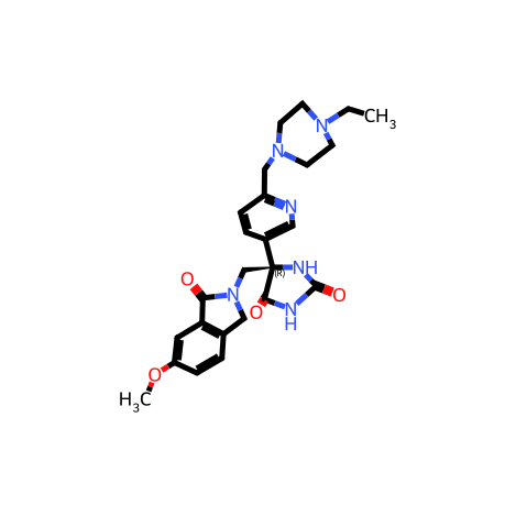 CCN1CCN(Cc2ccc([C@]3(CN4Cc5ccc(OC)cc5C4=O)NC(=O)NC3=O)cn2)CC1